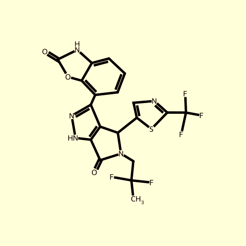 CC(F)(F)CN1C(=O)c2[nH]nc(-c3cccc4[nH]c(=O)oc34)c2C1c1cnc(C(F)(F)F)s1